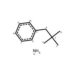 CC(C)(C)Cc1ccccc1.N